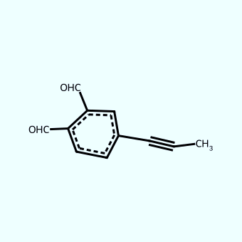 CC#Cc1ccc(C=O)c(C=O)c1